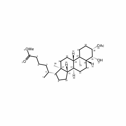 COC(=O)CCCC(C)[C@H]1CC[C@H]2[C@@H]3CC[C@H]4[C@@H](O)[C@@H](OC(C)=O)CC[C@]4(C)[C@H]3CC[C@]12C